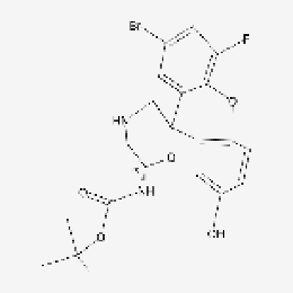 CC(C)(C)OC(=O)N[C@@H]1CNCC2(O1)c1cc(O)ccc1Oc1c(F)cc(Br)cc12